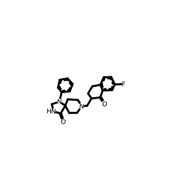 O=C1c2cc(F)ccc2CCC1CN1CCC2(CC1)C(=O)NCN2c1ccccc1